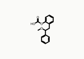 COC(Cc1ccccc1OC(=O)O)c1ccccc1